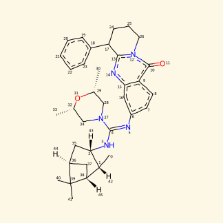 C[C@H]1[C@@H](NC(=Nc2ccc3c(=O)n4c(nc3c2)C(c2ccccc2)CCC4)N2C[C@@H](C)O[C@@H](C)C2)C[C@H]2C[C@H]1C2(C)C